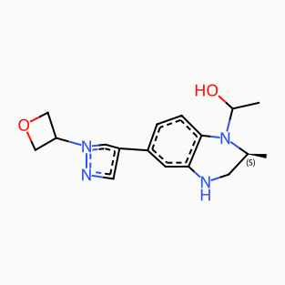 CC(O)N1c2ccc(-c3cnn(C4COC4)c3)cc2NC[C@@H]1C